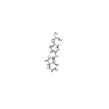 FC(F)Oc1ccc(Cn2ccc3ccccc32)cc1